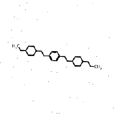 CCCC1CCC(CCc2ccc(CCC3CCC(CC)CC3)cc2)CC1